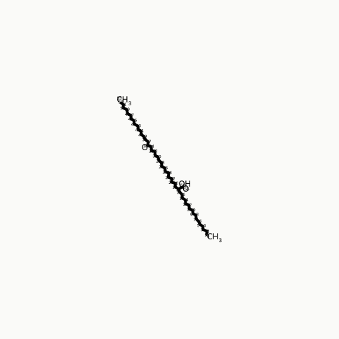 CCCCCCCCCCCCCCCCCCC(CCCCCCCCCCCCCCCCC(=O)CCCCCCCCCCCCCCCCC)C(=O)O